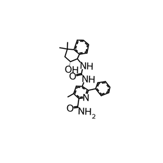 Cc1cc(NC(=O)NC2c3ccccc3C(C)(C)C[C@H]2O)c(-c2ccccc2)nc1C(N)=O